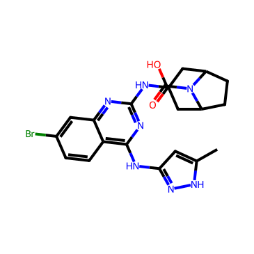 Cc1cc(Nc2nc(NC3CC4CCC(C3)N4C(=O)O)nc3cc(Br)ccc23)n[nH]1